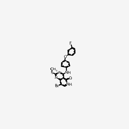 CSc1nc(Nc2ccc(Oc3cccc(F)c3)cc2)c2c(=O)[nH]cc(Br)c2n1